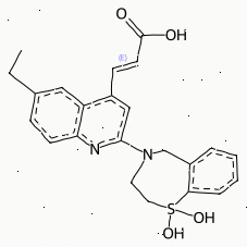 CCc1ccc2nc(N3CCS(O)(O)c4ccccc4C3)cc(/C=C/C(=O)O)c2c1